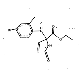 CCOC(=O)C(C=O)(NC=O)Nc1ccc(Br)cc1C